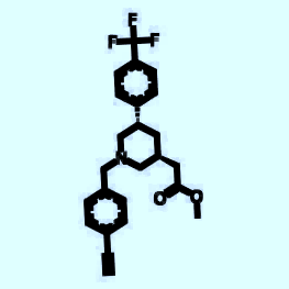 C#Cc1ccc(CN2C[C@H](CC(=O)OC)C[C@@H](c3ccc(C(F)(F)F)cc3)C2)cc1